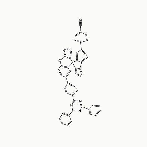 N#Cc1ccc(-c2ccc3c(c2)C2(c4ccccc4Oc4ccc(-c5ccc(-c6nc(-c7ccccc7)nc(-c7ccccc7)n6)cc5)cc42)c2ccccc2-3)cc1